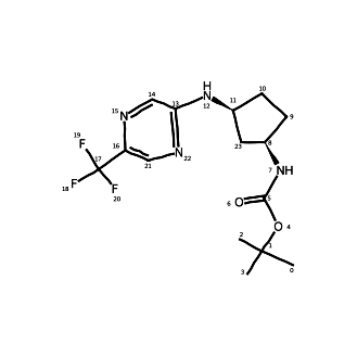 CC(C)(C)OC(=O)N[C@@H]1CC[C@H](Nc2cnc(C(F)(F)F)cn2)C1